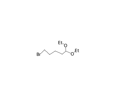 CCOC(CCCCBr)OCC